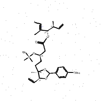 C=C[C@@H]1OC(c2ccc(OC)cc2)O[C@]1(C)CC[C@H](CC(=O)O[C@H](/C(C)=C/I)[C@@H](C)C=C)O[Si](C)(C)C(C)(C)C